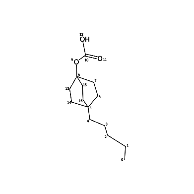 CCCCCC12CCC(OC(=O)O)(CC1)CC2